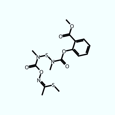 COC(=O)c1ccccc1OC(=O)N(C)SN(C)C(=O)ON=C(C)SC